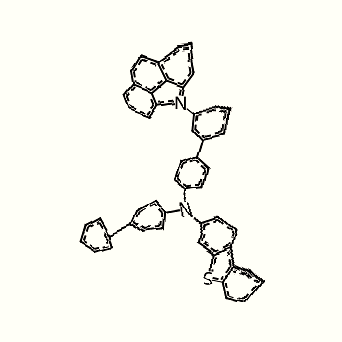 c1ccc(-c2ccc(N(c3ccc(-c4cccc(-n5c6cccc7ccc8cccc5c8c76)c4)cc3)c3ccc4c(c3)sc3ccccc34)cc2)cc1